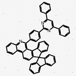 c1ccc(-c2cc(-c3ccccc3)nc(-c3ccc(-c4nc5ccccc5c5ccc6c(c45)-c4ccccc4C64c5ccccc5-c5ccccc54)cc3)n2)cc1